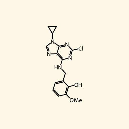 COc1cccc(CNc2nc(Cl)nc3c2ncn3C2CC2)c1O